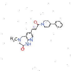 CN1CC(=O)Nc2ncc(/C=C/C(=O)N3CC=C(c4ccccc4)CC3)cc2C1